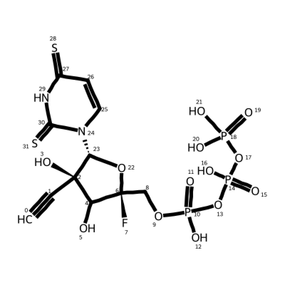 C#C[C@@]1(O)C(O)[C@@](F)(COP(=O)(O)OP(=O)(O)OP(=O)(O)O)O[C@H]1n1ccc(=S)[nH]c1=S